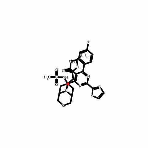 CCOC(=O)CC1(NS(C)(=O)=O)CC2COCC(C1)N2Cc1nc(-c2nccs2)nc(-c2ccc(F)cc2Cl)c1C(=O)O